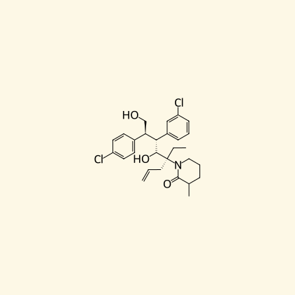 C=CC[C@@](CC)(C(O)[C@@H](c1cccc(Cl)c1)[C@H](CO)c1ccc(Cl)cc1)N1CCCC(C)C1=O